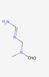 CN(C=O)C/N=C/N